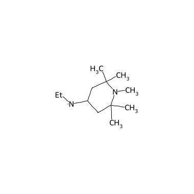 CC[N]C1CC(C)(C)N(C)C(C)(C)C1